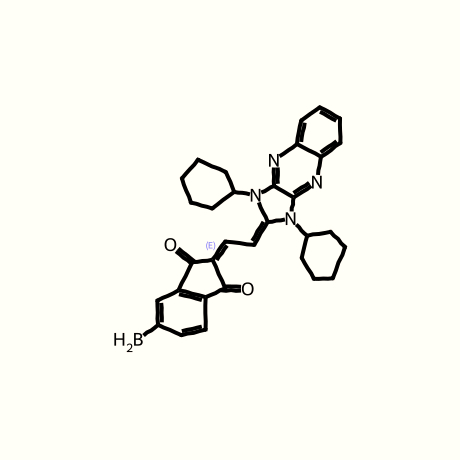 Bc1ccc2c(c1)C(=O)/C(=C/C=C1N(C3CCCCC3)c3nc4ccccc4nc3N1C1CCCCC1)C2=O